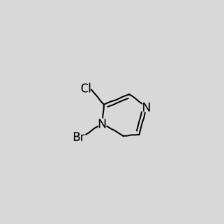 ClC1=CN=CCN1Br